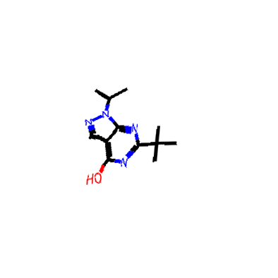 CC(C)n1ncc2c(O)nc(C(C)(C)C)nc21